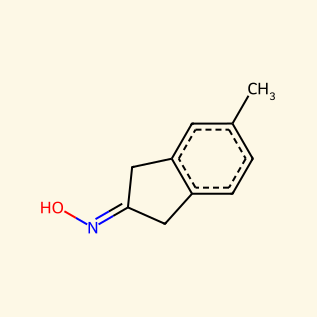 Cc1ccc2c(c1)CC(=NO)C2